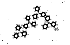 C.[Pd].c1ccc(P(c2ccccc2)c2ccccc2)cc1.c1ccc(P(c2ccccc2)c2ccccc2)cc1.c1ccc(P(c2ccccc2)c2ccccc2)cc1.c1ccc(P(c2ccccc2)c2ccccc2)cc1